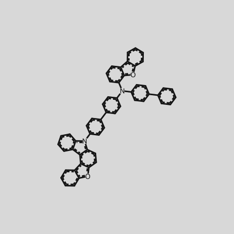 c1ccc(-c2ccc(N(c3ccc(-c4ccc(-n5c6ccccc6c6c7c(ccc65)oc5ccccc57)cc4)cc3)c3cccc4c3oc3ccccc34)cc2)cc1